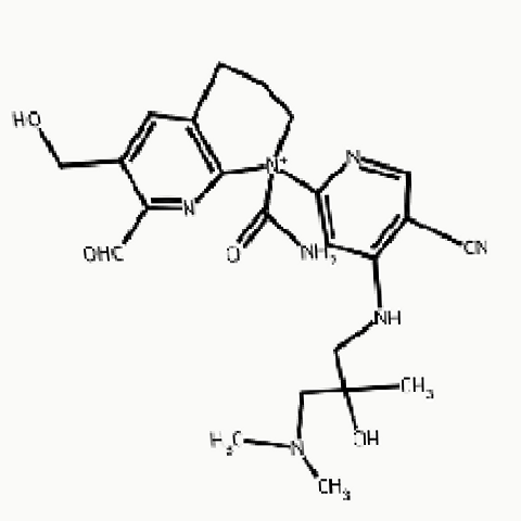 CN(C)CC(C)(O)CNc1cc([N+]2(C(N)=O)CCCc3cc(CO)c(C=O)nc32)ncc1C#N